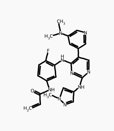 C=CC(=O)Nc1ccc(F)c(Nc2nc(Nc3cnn(C)c3)ncc2-c2cncc(N(C)C)c2)c1